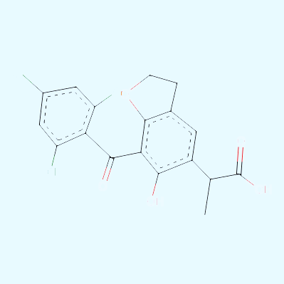 CC(C(=O)O)c1cc2c(c(C(=O)c3c(Cl)cc(Cl)cc3Cl)c1O)OCC2